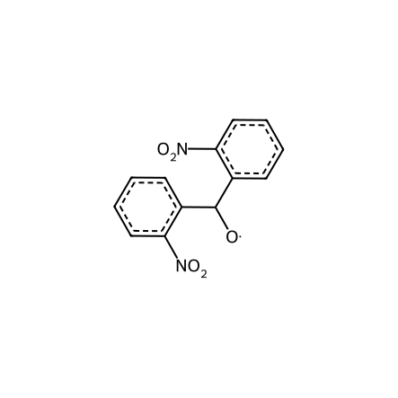 [O]C(c1ccccc1[N+](=O)[O-])c1ccccc1[N+](=O)[O-]